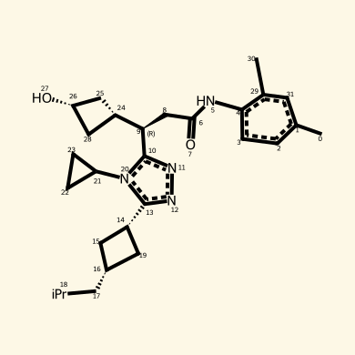 Cc1ccc(NC(=O)C[C@@H](c2nnc([C@H]3C[C@@H](CC(C)C)C3)n2C2CC2)[C@H]2C[C@@H](O)C2)c(C)c1